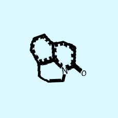 O=c1ccc2cccc3c2n1C=CC3